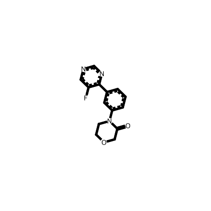 O=C1COCCN1c1cccc(-c2ncncc2F)c1